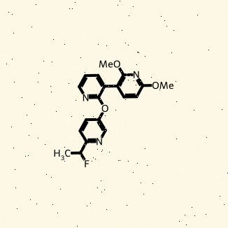 COc1ccc(-c2cccnc2Oc2ccc(C(C)F)nc2)c(OC)n1